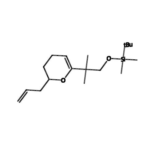 C=CCC1CCC=C(C(C)(C)CO[Si](C)(C)C(C)(C)C)O1